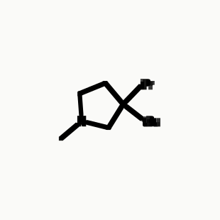 CC(C)C1(C(C)(C)C)CCN(C)C1